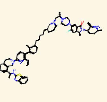 C=Cc1nc(N2CCc3cccc(C(=C)Nc4nc5ccccc5s4)c3C2)ccc1-c1cccc(CCCCCC2CCCN(CC(=C)N3CCN(c4cc5c(cc4F)C(=C)N(C4CCC(=C)NC4=C)C5=O)CC3)C2)c1C